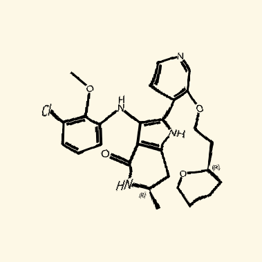 COc1c(Cl)cccc1Nc1c(-c2ccncc2OCC[C@H]2CCCCO2)[nH]c2c1C(=O)N[C@H](C)C2